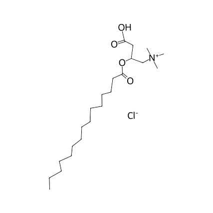 CCCCCCCCCCCCCCC(=O)OC(CC(=O)O)C[N+](C)(C)C.[Cl-]